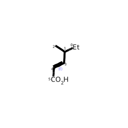 CCC(C)/C=C/C(=O)O